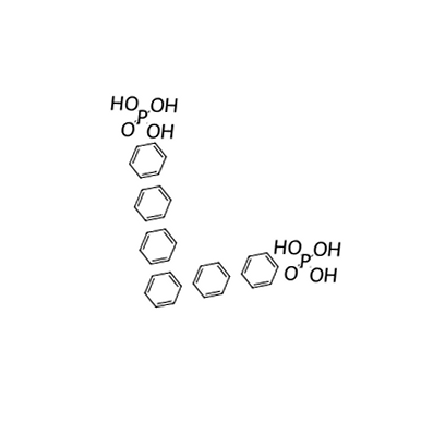 O=P(O)(O)O.O=P(O)(O)O.c1ccccc1.c1ccccc1.c1ccccc1.c1ccccc1.c1ccccc1.c1ccccc1